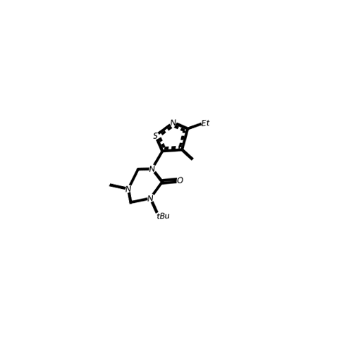 CCc1nsc(N2CN(C)CN(C(C)(C)C)C2=O)c1C